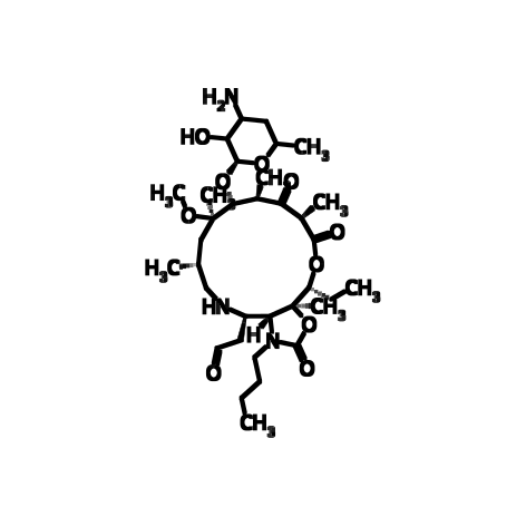 CCCCN1C(=O)O[C@]2(C)[C@@H](CC)OC(=O)[C@H](C)C(=O)[C@H](C)[C@@H](O[C@@H]3OC(C)CC(N)C3O)[C@](C)(OC)C[C@@H](C)CN[C@H](CC=O)[C@@H]12